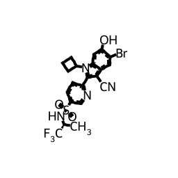 C[C@H](NS(=O)(=O)c1ccc(-c2c(C#N)c3cc(Br)c(O)cc3n2C2CCC2)nc1)C(F)(F)F